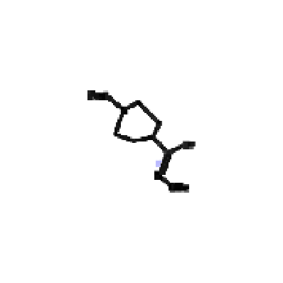 CCCC(C)N1CCC(/C(=N/OC)C(C)C)CC1